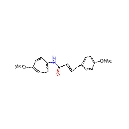 COc1ccc(/C=C/C(=O)Nc2ccc(OC)cc2)cc1